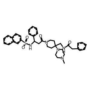 CN1CCN(C2(CNC(=O)Cc3ccccc3)CCN(C(=O)CC(NS(=O)(=O)c3ccc4ccccc4c3)c3ccccc3)CC2)CC1